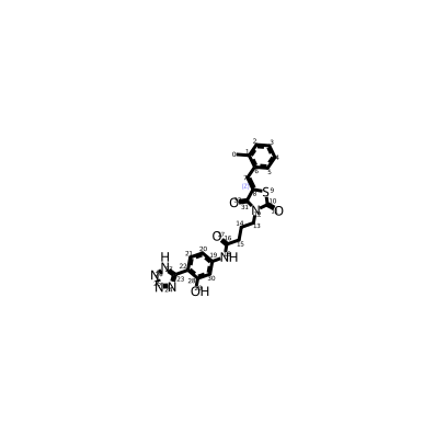 Cc1ccccc1/C=C1\SC(=O)N(CCCC(=O)Nc2ccc(-c3nnn[nH]3)c(O)c2)C1=O